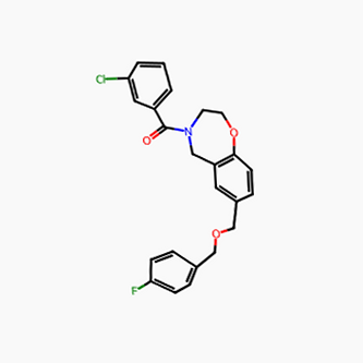 O=C(c1cccc(Cl)c1)N1CCOc2ccc(COCc3ccc(F)cc3)cc2C1